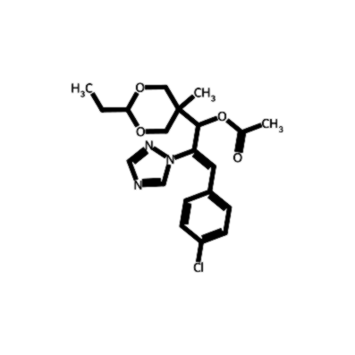 CCC1OCC(C)(C(OC(C)=O)C(=Cc2ccc(Cl)cc2)n2cncn2)CO1